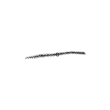 CCCCCCCCCCCCCCCCCCCCCCCCCCOCCCCCCCCCCCCCCCCCCCCCCCC